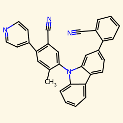 Cc1cc(-c2ccncc2)c(C#N)cc1-n1c2ccccc2c2ccc(-c3ccccc3C#N)cc21